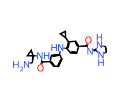 NCC1(NC(=O)c2cccc(Nc3ccc(C(=O)N=C4NCCN4)cc3C3CC3)c2)CC1